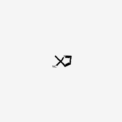 CC1(C#N)C=CC=N1